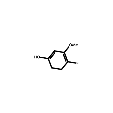 COC1=C(F)CCC(O)=C1